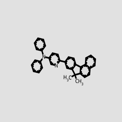 CC1(C)c2cc(-c3ccc(N(c4ccccc4)c4ccccc4)cn3)ccc2-c2c1ccc1ccccc21